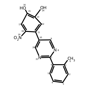 Cc1ccccc1-c1ncc(-c2cc(O)c(O)cc2[N+](=O)[O-])cn1